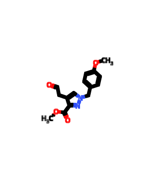 COC(=O)c1nn(Cc2ccc(OC)cc2)cc1CC=O